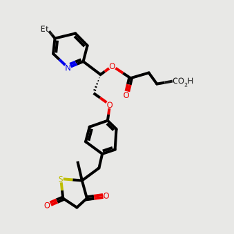 CCc1ccc([C@@H](COc2ccc(CC3(C)SC(=O)CC3=O)cc2)OC(=O)CCC(=O)O)nc1